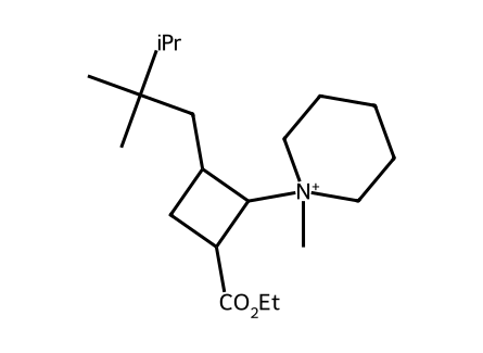 CCOC(=O)C1CC(CC(C)(C)C(C)C)C1[N+]1(C)CCCCC1